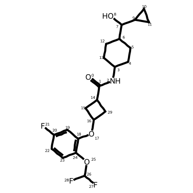 O=C(NC1CCC(C(O)C2CC2)CC1)C1CC(Oc2cc(F)ccc2OC(F)F)C1